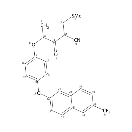 CSCC(C#N)C(=O)C(C)Oc1ccc(Oc2ccc3cc(C(F)(F)F)ccc3c2)cc1